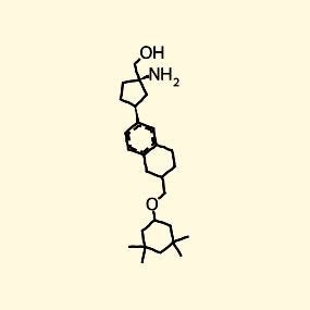 CC1(C)CC(OCC2CCc3cc([C@H]4CC[C@](N)(CO)C4)ccc3C2)CC(C)(C)C1